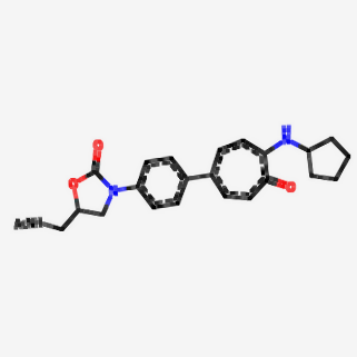 CC(=O)NCC1CN(c2ccc(-c3ccc(NC4CCCC4)c(=O)cc3)cc2)C(=O)O1